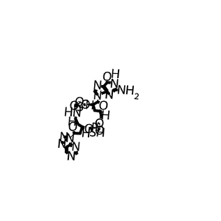 Nc1nc2c(ncn2[C@@H]2O[C@@H]3COP(=O)(S)O[C@H]4C[C@H](n5nnc6cncnc65)O[C@@H]4CNS(=O)(=O)O[C@@H]2C3)c(=O)[nH]1